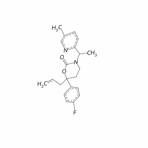 C=CCC1(c2ccc(F)cc2)CCN(C(C)c2ccc(C)cn2)C(=O)O1